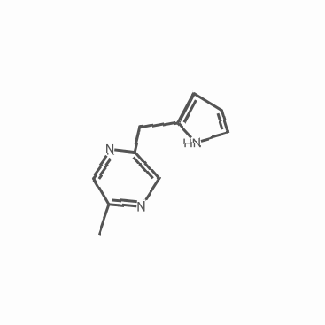 Cc1cnc(Cc2ccc[nH]2)cn1